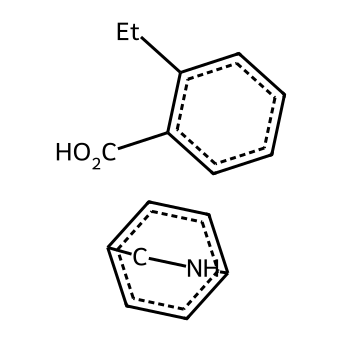 CCc1ccccc1C(=O)O.c1cc2ccc1CN2